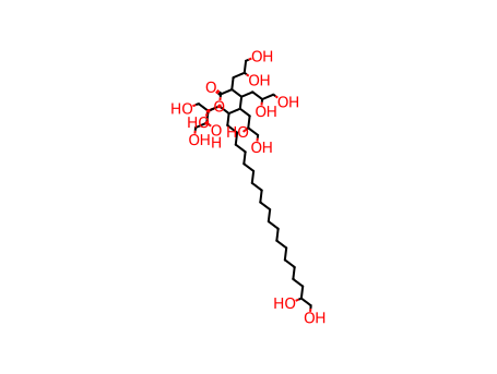 O=C(OCC(O)CO)C(CC(O)CO)C(CC(O)CO)C(CC(O)CO)C(CCCCCCCCCCCCCCCCCCC(O)CO)CC(O)CO